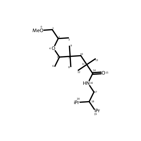 COCC(C)OC(C)C(C)(C)CC(C)(C)C(=O)NCC(C(C)C)C(C)C